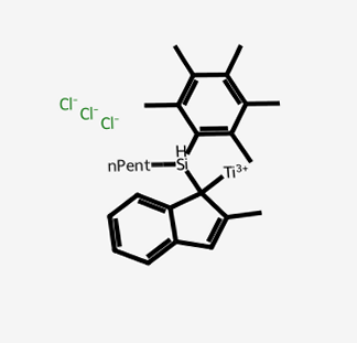 CCCCC[SiH](c1c(C)c(C)c(C)c(C)c1C)[C]1([Ti+3])C(C)=Cc2ccccc21.[Cl-].[Cl-].[Cl-]